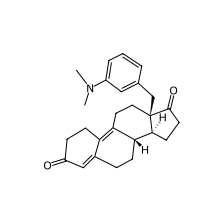 CN(C)c1cccc(C[C@]23CCC4=C5CCC(=O)C=C5CC[C@H]4[C@@H]2CCC3=O)c1